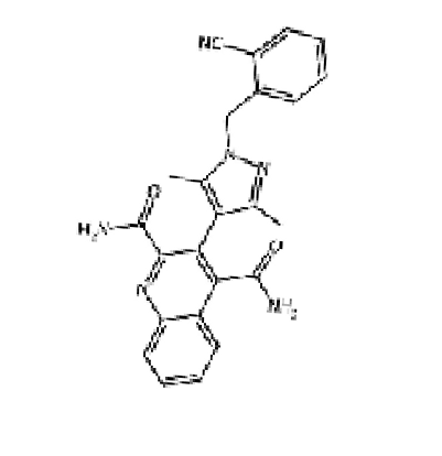 Cc1nn(Cc2ccccc2C#N)c(C)c1-c1c(C(N)=O)nc2ccccc2c1C(N)=O